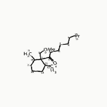 COCC1(C(=O)CCCCCC(C)C)C(C)CCCC1C